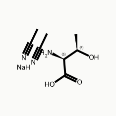 CC#N.CC#N.C[C@@H](O)[C@H](N)C(=O)O.[NaH]